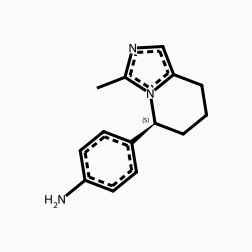 Cc1ncc2n1[C@H](c1ccc(N)cc1)CCC2